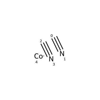 C#N.C#N.[Co]